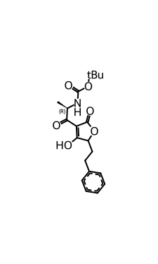 C[C@@H](NC(=O)OC(C)(C)C)C(=O)C1=C(O)C(CCc2ccccc2)OC1=O